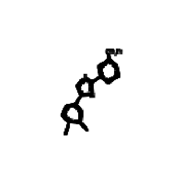 CCOC(=O)c1cccc(-c2nc(-c3ccc(C)c(C)c3)cs2)c1